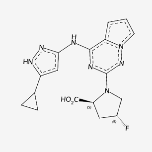 O=C(O)[C@@H]1C[C@@H](F)CN1c1nc(Nc2cc(C3CC3)[nH]n2)c2cccn2n1